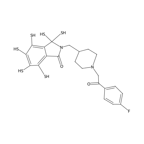 O=C(CN1CCC(CN2C(=O)c3c(S)c(S)c(S)c(S)c3C2(S)S)CC1)c1ccc(F)cc1